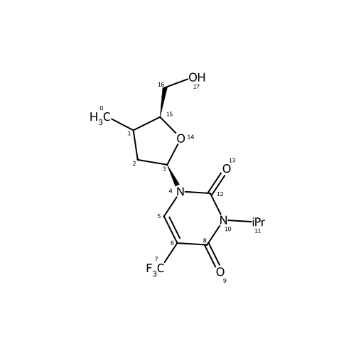 CC1C[C@H](n2cc(C(F)(F)F)c(=O)n(C(C)C)c2=O)O[C@@H]1CO